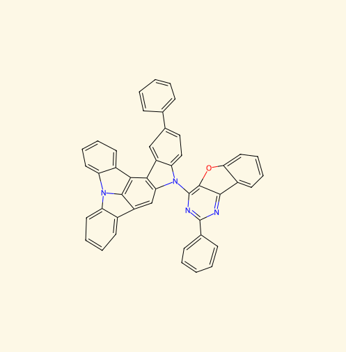 c1ccc(-c2ccc3c(c2)c2c4c5ccccc5n5c6ccccc6c(cc2n3-c2nc(-c3ccccc3)nc3c2oc2ccccc23)c45)cc1